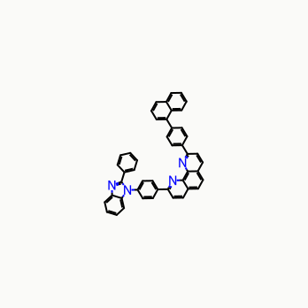 c1ccc(-c2nc3ccccc3n2-c2ccc(-c3ccc4ccc5ccc(-c6ccc(-c7cccc8ccccc78)cc6)nc5c4n3)cc2)cc1